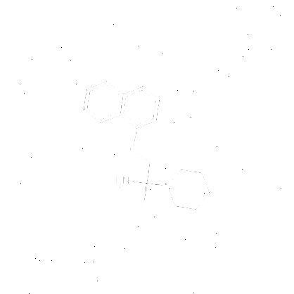 CC(N)(COc1cccc2ccccc12)N1CCCCC1